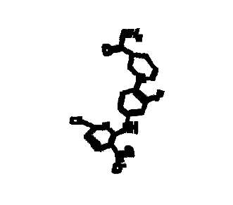 NC(=O)C1CCCN(c2ccc(Nc3nc(Cl)ccc3[N+](=O)[O-])cc2F)C1